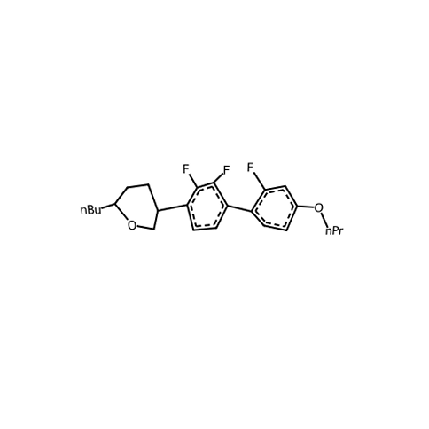 CCCCC1CCC(c2ccc(-c3ccc(OCCC)cc3F)c(F)c2F)CO1